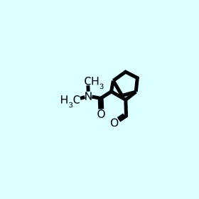 CN(C)C(=O)C1C2CCC(C2)C1C=O